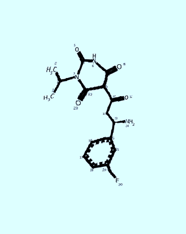 CC(C)N1C(=O)NC(=O)C(C(=O)C[C@@H](N)c2cccc(F)c2)C1=O